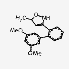 COc1cc(OC)cc(-c2ccccc2C2=CC(C)ON2)c1